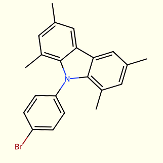 Cc1cc(C)c2c(c1)c1cc(C)cc(C)c1n2-c1ccc(Br)cc1